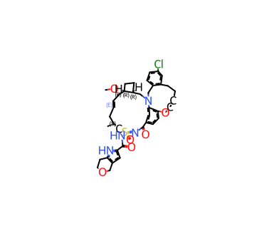 CO[C@H]1/C=C/C[C@H](C)CS(=O)(NC(=O)c2cc3c([nH]2)CCOC3)=NC(=O)c2ccc3c(c2)N(Cc2ccc(Cl)cc2CCCCO3)C[C@@H]2CC[C@H]21